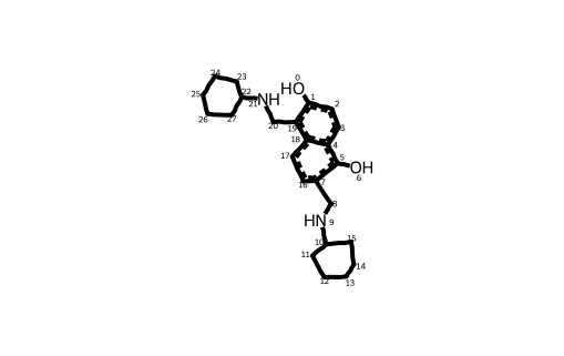 Oc1ccc2c(O)c(CNC3CCCCC3)ccc2c1CNC1CCCCC1